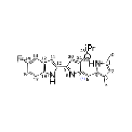 Cc1cc(C)c(/C=C2/N=C(c3cc4cc(F)ccc4[nH]3)C=C2OC(C)C)[nH]1